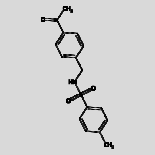 CC(=O)c1ccc(CNS(=O)(=O)c2ccc(C)cc2)cc1